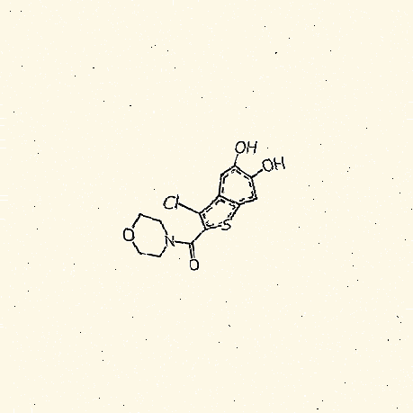 O=C(c1sc2cc(O)c(O)cc2c1Cl)N1CCOCC1